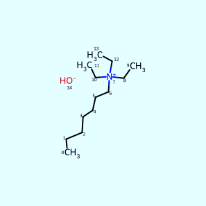 CCCCCCC[N+](CC)(CC)CC.[OH-]